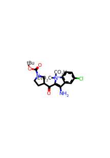 CCOC(=O)[N+]1(C(=O)O)C(C(=O)C2CCN(C(=O)OC(C)(C)C)C2)=C(N)c2cc(Cl)ccc21